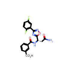 NC(=O)C[C@H](NC(=O)c1cccc(C(=O)O)c1)c1nc(-c2cc(F)ccc2F)no1